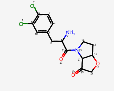 NC(Cc1ccc(Cl)c(Cl)c1)C(=O)N1CCC2OCC(=O)C21